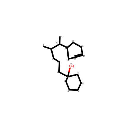 CC(CCCC1(O)CCCCC1)C(C)C1CC=CCC1